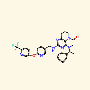 CC(c1ccccc1)N(C)c1nc(NCc2ccc(Oc3ccc(C(F)(F)F)nc3)nc2)nc2c1N(C=O)CCC2